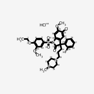 CCOc1ccc(S(=O)(=O)N2C(=O)C(CCCN3CCN(C)CC3)(c3ccccc3F)c3cc(Cl)c(OC)cc32)cc1OC.Cl